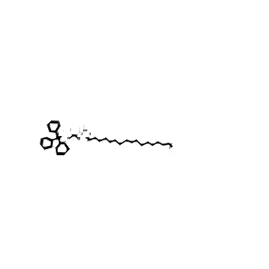 CCCCCCCCCCCCCCCCCOC[C@H](O)COC(c1ccccc1)(c1ccccc1)c1ccccc1